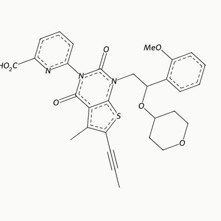 CC#Cc1sc2c(c1C)c(=O)n(-c1cccc(C(=O)O)n1)c(=O)n2CC(OC1CCOCC1)c1ccccc1OC